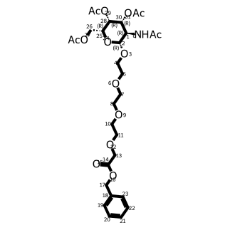 CC(=O)N[C@H]1[C@H](OCCOCCOCCOCC(=O)OCc2ccccc2)O[C@H](COC(C)=O)[C@H](OC(C)=O)[C@@H]1OC(C)=O